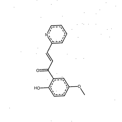 COc1ccc(O)c(C(=O)/C=C/c2ccccn2)c1